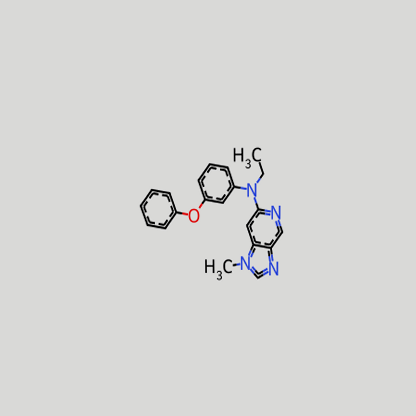 CCN(c1cccc(Oc2ccccc2)c1)c1cc2c(cn1)ncn2C